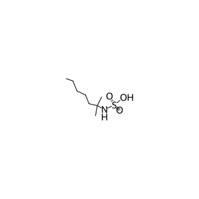 CCCCCC(C)(C)NS(=O)(=O)O